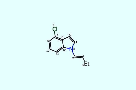 CCC=Cn1ccc2c(Cl)cccc21